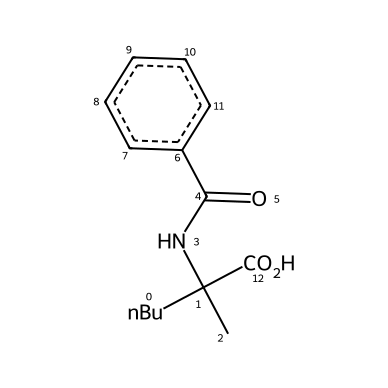 CCCCC(C)(NC(=O)c1ccccc1)C(=O)O